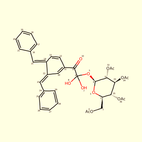 CC(=O)OC[C@H]1O[C@@H](OC(O)(O)C(=O)c2ccc(=Cc3ccccc3)c(=Cc3ccccc3)c2)[C@H](OC(C)=O)[C@@H](OC(C)=O)[C@@H]1OC(C)=O